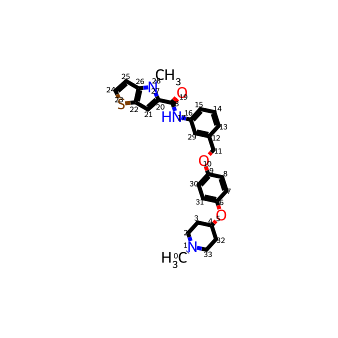 CN1CCC(Oc2ccc(OCc3cccc(NC(=O)c4cc5sccc5n4C)c3)cc2)CC1